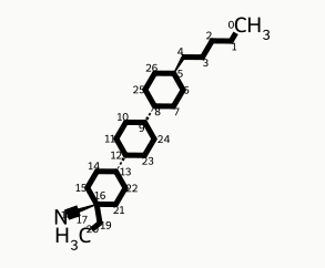 CCCCC[C@H]1CC[C@H](C2CCC([C@H]3CC[C@@](C#N)(CC)CC3)CC2)CC1